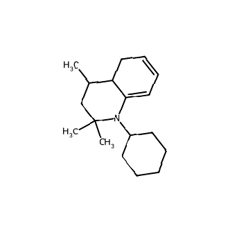 CC1CC(C)(C)N(C2CCCCC2)C2=CC=CCC21